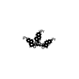 CC(C)C1=CCC2C(=C1)CCC1[C@]2(C)CCC[C@]1(C)C(=O)OCC(COC(=O)[C@@]1(C)CCC[C@]2(C)C3CCC(C(C)C)CC3CCC21)OC(=O)[C@@]1(C)CCC[C@]2(C)C3CC=C(C(C)C)C=C3CCC21